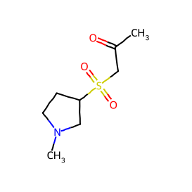 CC(=O)CS(=O)(=O)C1CCN(C)C1